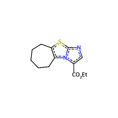 CCOC(=O)c1cnc2sc3c(n12)CCCCC3